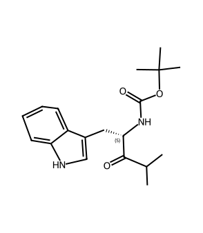 CC(C)C(=O)[C@H](Cc1c[nH]c2ccccc12)NC(=O)OC(C)(C)C